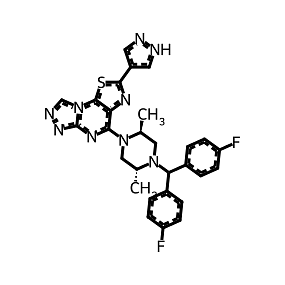 C[C@@H]1CN(c2nc3nncn3c3sc(-c4cn[nH]c4)nc23)[C@@H](C)CN1C(c1ccc(F)cc1)c1ccc(F)cc1